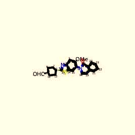 COc1cc2nc([C@H]3CC[C@H](C=O)CC3)sc2cc1-n1ccc2ccccc2c1=O